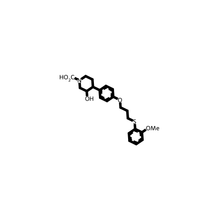 COc1ccccc1SCCCOc1ccc(C2CCN(C(=O)O)CC2O)cc1